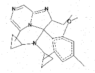 CCC1N=C2C=NC=C(C)N2C1(c1c(C)cc(C)cc1OC)N(C1CC1)C1CC1